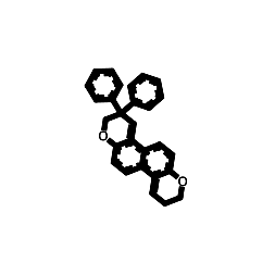 C1=c2c(ccc3c4c(ccc23)OCC(c2ccccc2)(c2ccccc2)C=4)OCC1